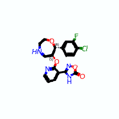 O=c1[nH]c(-c2cccnc2O[C@H]2CNCCO[C@@H]2c2ccc(Cl)c(F)c2)no1